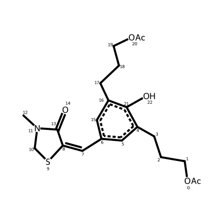 CC(=O)OCCCc1cc(C=C2SCN(C)C2=O)cc(CCCOC(C)=O)c1O